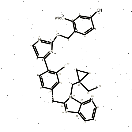 COc1cc(C#N)ccc1COc1nccc(-c2ccc(Cc3nc4cccnc4n3CC3(CF)CC3)cc2F)n1